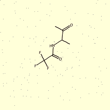 CC(=O)C(C)NC(=O)C(F)(F)F